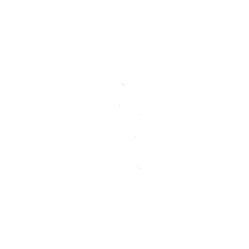 NC(=O)Cc1ccc(C2=CNOC=C2)cc1